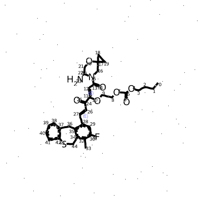 CCCCOC(=O)OCCO/C(=C\C(=O)N1CC2(CC2)OC[C@H]1N)C(=O)/C=C/c1cc(F)c(C)c2c1Cc1ccccc1SC2